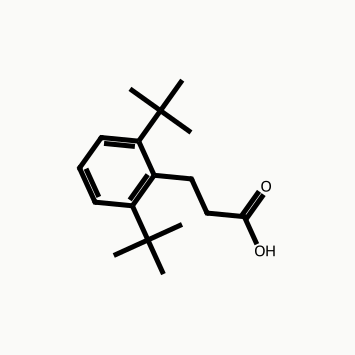 CC(C)(C)c1cccc(C(C)(C)C)c1CCC(=O)O